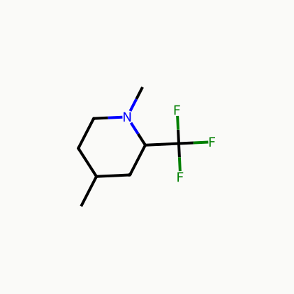 CC1CCN(C)C(C(F)(F)F)C1